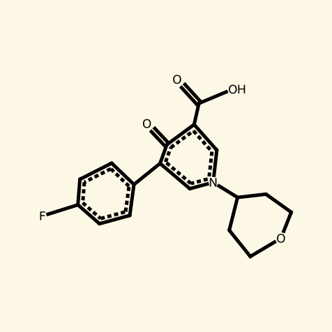 O=C(O)c1cn(C2CCOCC2)cc(-c2ccc(F)cc2)c1=O